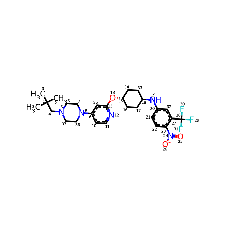 CC(C)(C)CN1CCN(c2ccnc(O[C@H]3CC[C@H](Nc4ccc([N+](=O)[O-])c(C(F)(F)F)c4)CC3)c2)CC1